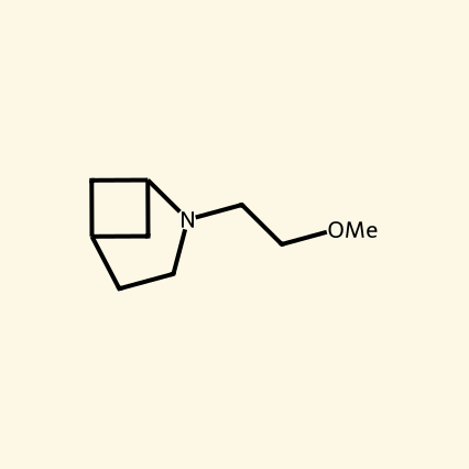 COCCN1CCC2CC1C2